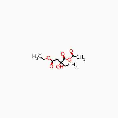 CCOC(=O)CC(O)(CC)C(=O)OC(C)=O